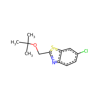 CC(C)(C)OCc1nc2ccc(Cl)cc2s1